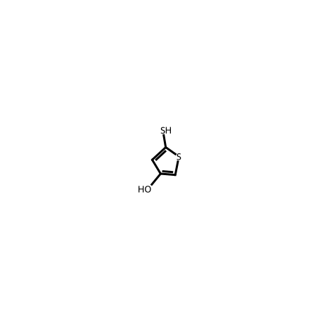 Oc1csc(S)c1